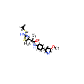 CCOc1cncc(-c2ccc(NC(=O)C(C)(C)c3csc(NSC4CC4)n3)cc2)c1